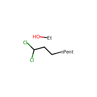 CCCCCCCC(Cl)Cl.CCO